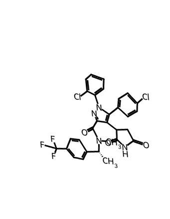 C[C@H](c1ccc(C(F)(F)F)cc1)N(C)C(=O)c1nn(-c2ccccc2Cl)c(-c2ccc(Cl)cc2)c1C1CC(=O)NC1=O